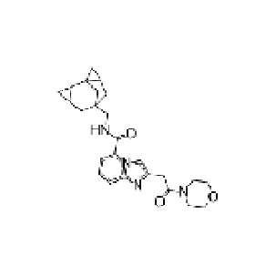 O=C(NCC12CC3CC3C3(CC3C1)C2)c1cccc2nc(CC(=O)N3CCOCC3)cn12